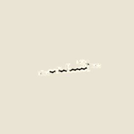 CCCCCCCCCCCCCOC(=O)CCCNCCCCCCCC(=O)OC(CCCCCCCC)CCCCCCCC